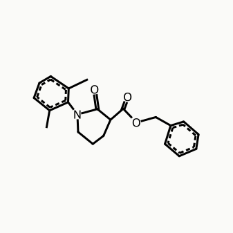 Cc1cccc(C)c1N1CCCC(C(=O)OCc2ccccc2)C1=O